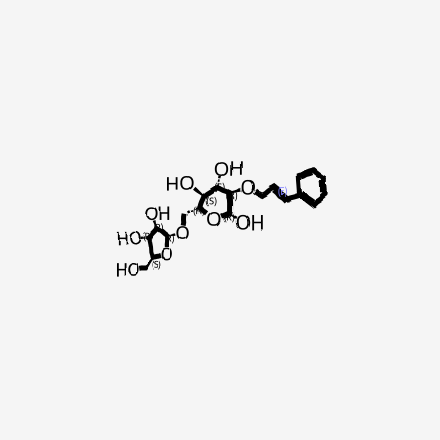 OC[C@@H]1O[C@@H](OC[C@H]2O[C@@H](O)[C@H](OC/C=C/c3ccccc3)[C@@H](O)[C@@H]2O)[C@H](O)[C@H]1O